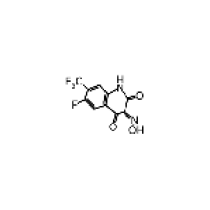 O=C1Nc2cc(C(F)(F)F)c(F)cc2C(=O)C1=NO